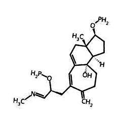 C=C1CC[C@@]2(O)C(=CC[C@]3(C)[C@@H](OP)CC[C@H]32)C=C1C[C@@H](/C=N/C)OP